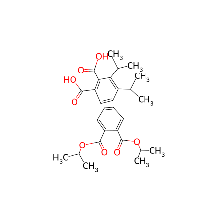 CC(C)OC(=O)c1ccccc1C(=O)OC(C)C.CC(C)c1ccc(C(=O)O)c(C(=O)O)c1C(C)C